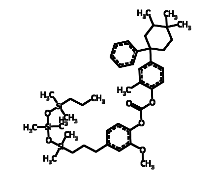 CCC[Si](C)(C)O[Si](C)(C)O[Si](C)(C)CCCc1ccc(OC(=O)Oc2ccc(C3(c4ccccc4)CCC(C)(C)C(C)C3)cc2C)c(OC)c1